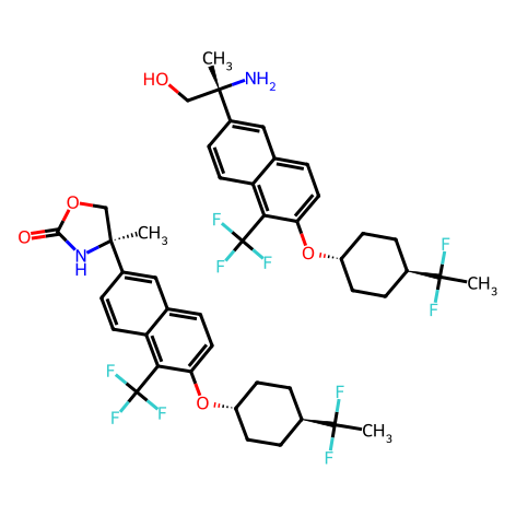 CC(F)(F)[C@H]1CC[C@H](Oc2ccc3cc([C@@](C)(N)CO)ccc3c2C(F)(F)F)CC1.CC(F)(F)[C@H]1CC[C@H](Oc2ccc3cc([C@]4(C)COC(=O)N4)ccc3c2C(F)(F)F)CC1